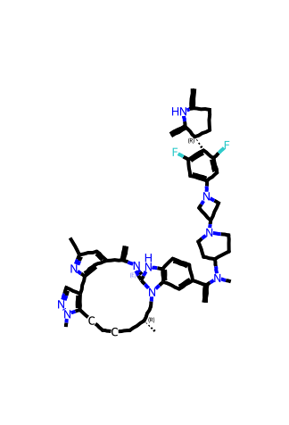 C=C1CC[C@H](c2c(F)cc(N3CC(N4CCC(N(C)C(=C)c5ccc6c(c5)N5C[C@H](C)CCCCc7c(cnn7C)-c7cc(cc(C)n7)C(=C)/N=C/5N6)CC4)C3)cc2F)C(=C)N1